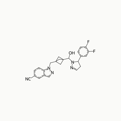 N#Cc1ccc2c(cnn2CC23CC(C(O)N4N=CCC4c4ccc(F)c(F)c4)(C2)C3)c1